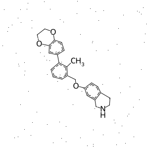 Cc1c(COc2ccc3c(c2)CNCC3)cccc1-c1ccc2c(c1)OCCO2